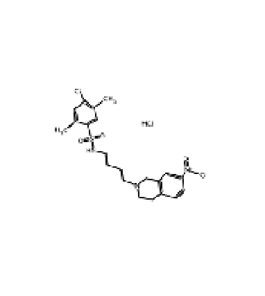 Cc1cc(S(=O)(=O)NCCCCN2CCc3ccc([N+](=O)[O-])cc3C2)c(C)cc1Cl.Cl